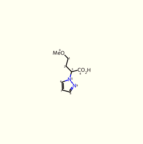 COCCC(C(=O)O)n1cccn1